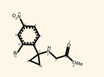 COC(=O)CNC1(c2ccc([N+](=O)[O-])cc2Br)CC1